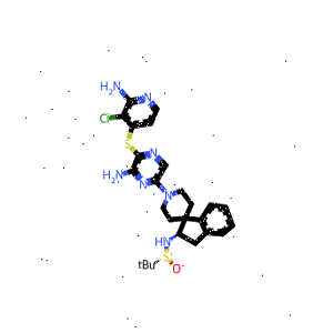 CC(C)(C)[S@@+]([O-])N[C@@H]1Cc2ccccc2C12CCN(c1cnc(Sc3ccnc(N)c3Cl)c(N)n1)CC2